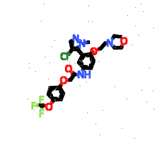 Cn1ncc(Cl)c1-c1cc(NC(=O)COc2ccc(OC(F)(F)F)cc2)ccc1OCCN1CCOCC1